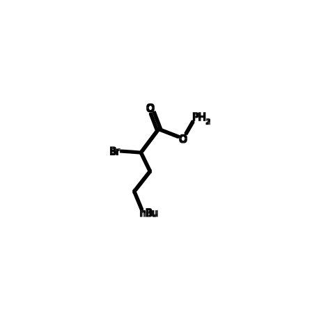 CCCCCCC(Br)C(=O)OP